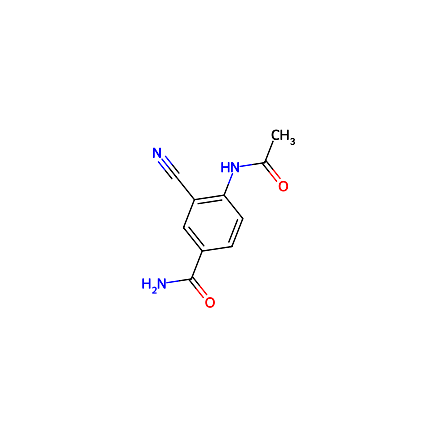 CC(=O)Nc1ccc(C(N)=O)cc1C#N